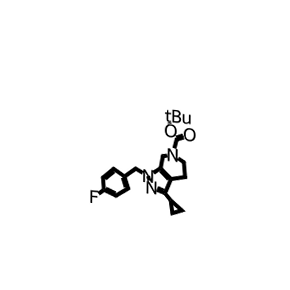 CC(C)(C)OC(=O)N1CCc2c(C3CC3)nn(Cc3ccc(F)cc3)c2C1